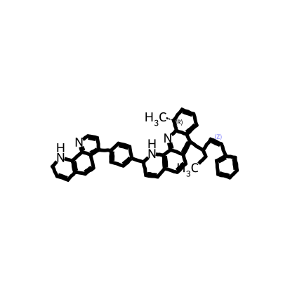 CCC(/C=C\c1ccccc1)C1=c2ccc3c(c2=NC2C1=CC=C[C@H]2C)NC(c1ccc(-c2ccnc4c5c(ccc24)C=CCN5)cc1)C=C3